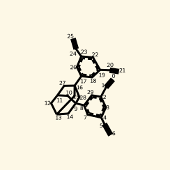 C#Cc1cc(C#C)cc(C23CC4CC(C2)CC(c2cc(C#C)cc(C#C)c2)(C4)C3)c1